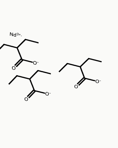 CCC(CC)C(=O)[O-].CCC(CC)C(=O)[O-].CCC(CC)C(=O)[O-].[Nd+3]